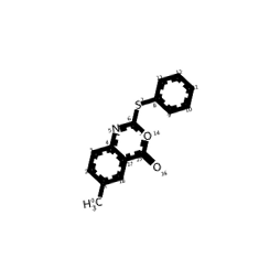 Cc1ccc2nc(Sc3ccccc3)oc(=O)c2c1